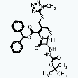 Cn1nnnc1SCC1=C(C(=O)OC(c2ccccc2)c2ccccc2)N2C(=O)[C@@H](NNC(=O)OC(C)(C)C)[C@@H]2SC1